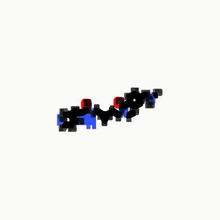 CCN(CCC1CC1CNC(=O)c1cc2cnccc2[nH]1)C(=O)c1ccc(CN(C)C)cc1